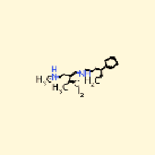 C=C/C(=C\C=C\N/C=C(/CCNC)C(=C)C)c1ccccc1